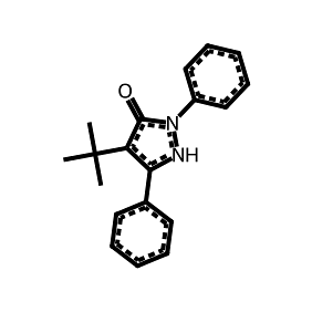 CC(C)(C)c1c(-c2ccccc2)[nH]n(-c2ccccc2)c1=O